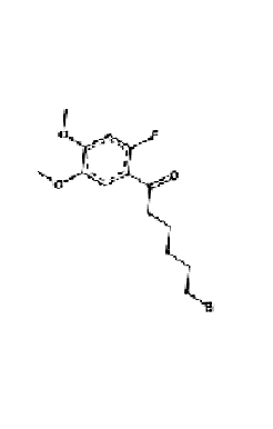 COc1cc(F)c(C(=O)CCCCCBr)cc1OC